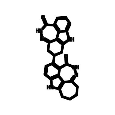 O=C1NN=C2CC(c3ccc4[nH]c5c6c4c3C(=O)NN=C6CCCC5)Cc3[nH]c4cccc1c4c32